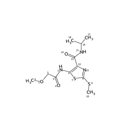 COCC(=O)Nc1sc(SC)nc1C(=O)NC(C)C